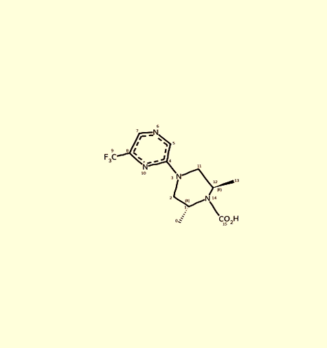 C[C@@H]1CN(c2cncc(C(F)(F)F)n2)C[C@@H](C)N1C(=O)O